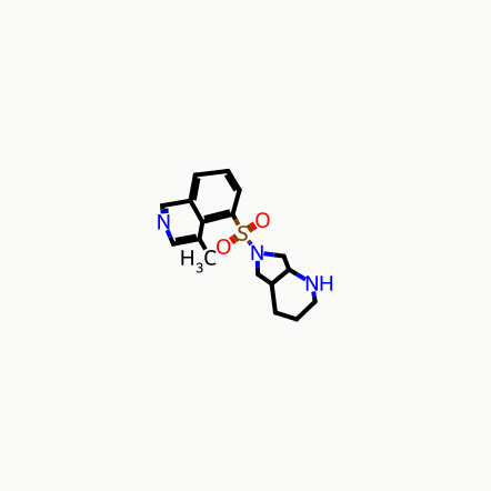 Cc1cncc2cccc(S(=O)(=O)N3CC4CCCNC4C3)c12